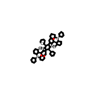 Clc1cccc(N(c2ccccc2)c2ccccc2)c1-c1cccc2c1[nH]c1c(-c3ccccc3)c3c([nH]c4c(-c5c(Cl)cccc5N(c5ccccc5)c5ccccc5)cccc43)c(-c3ccccc3)c12